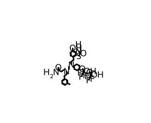 Cc1cccc(CCN(CCC(N)=O)CCN(CCc2ccc(O)c3[nH]c(=O)sc23)C2CCCCC2)c1.O=C(O)C(F)(F)F.O=C(O)C(F)(F)F